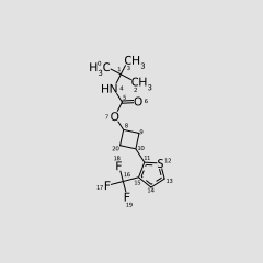 CC(C)(C)NC(=O)OC1CC(c2sccc2C(F)(F)F)C1